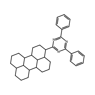 c1ccc(-c2nc(-c3ccccc3)nc(C3CCC4C5CCCC6CCCC(C7CCCC3C74)C65)n2)cc1